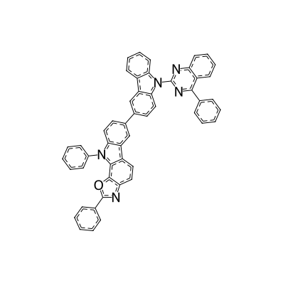 c1ccc(-c2nc3ccc4c5cc(-c6ccc7c(c6)c6ccccc6n7-c6nc(-c7ccccc7)c7ccccc7n6)ccc5n(-c5ccccc5)c4c3o2)cc1